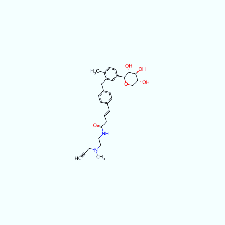 C#CCN(C)CCNC(=O)C/C=C/c1ccc(Cc2cc([C@@H]3OC[C@@H](O)[C@H](O)[C@H]3O)ccc2C)cc1